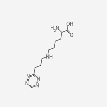 NC(CCCCNCCCc1nncnn1)C(=O)O